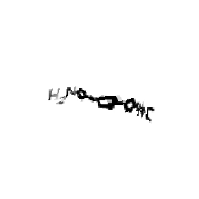 CCN(CC)/N=N/c1ccc(-c2ccc(C#Cc3ccc(N)cc3)cc2)cc1